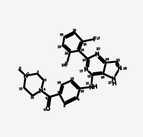 CN1CCN(C(=O)c2ccc(Nc3nc(-c4c(F)cccc4F)nc4cn[nH]c34)cc2)CC1